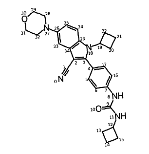 N#Cc1c(-c2ccc(NC(=O)NC3CCC3)cc2)n(C2CCC2)c2ccc(N3CCOCC3)cc12